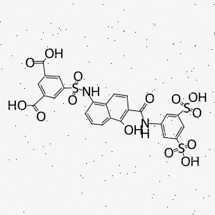 O=C(O)c1cc(C(=O)O)cc(S(=O)(=O)Nc2cccc3c(O)c(C(=O)Nc4cc(S(=O)(=O)O)cc(S(=O)(=O)O)c4)ccc23)c1